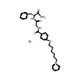 NC(=O)[C@H](Cc1ccccc1)NC(=O)CNC(=O)c1ccc(OCCCCCC[n+]2ccccc2)cc1.[Br-]